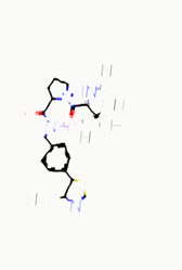 CN[C@H](C(=O)N1CCCC1C(=O)NCc1ccc(C2SC=NC2C)cc1)C(C)(C)C